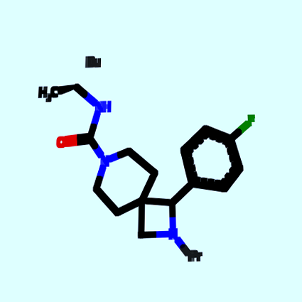 CC[C@H](C)[C@H](C)NC(=O)N1CCC2(CC1)CN(C(C)C)C2c1ccc(F)cc1